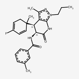 CCCn1nc(C)c2c1NC(=O)[C@@H](NC(=O)c1cccc(C)c1)[C@H]2C1(C)C=CC(F)=CC1